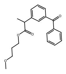 COCCCOC(=O)C(C)c1cccc(C(=O)c2ccccc2)c1